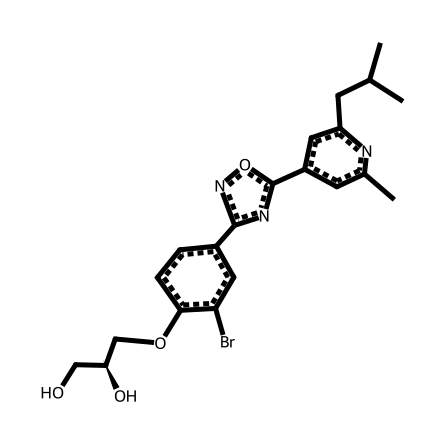 Cc1cc(-c2nc(-c3ccc(OC[C@@H](O)CO)c(Br)c3)no2)cc(CC(C)C)n1